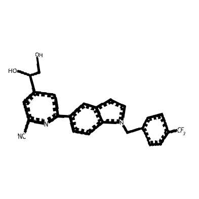 N#Cc1cc(C(O)CO)cc(-c2ccc3c(ccn3Cc3ccc(C(F)(F)F)cc3)c2)n1